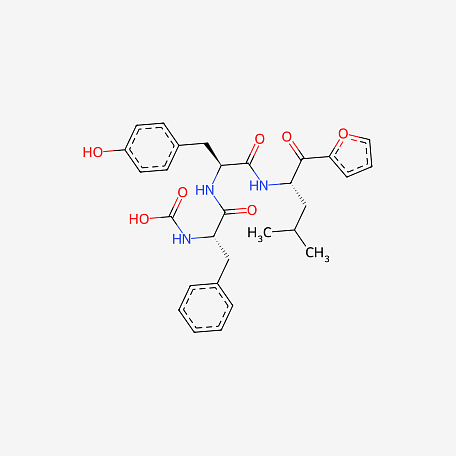 CC(C)C[C@H](NC(=O)[C@H](Cc1ccc(O)cc1)NC(=O)[C@H](Cc1ccccc1)NC(=O)O)C(=O)c1ccco1